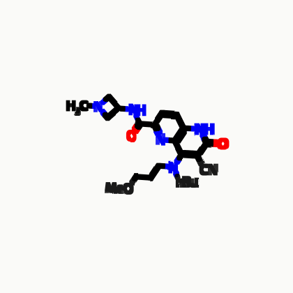 CCCCN(CCCOC)c1c(C#N)c(=O)[nH]c2ccc(C(=O)NC3CN(C)C3)nc12